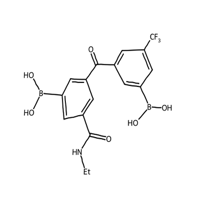 CCNC(=O)c1cc(B(O)O)cc(C(=O)c2cc(B(O)O)cc(C(F)(F)F)c2)c1